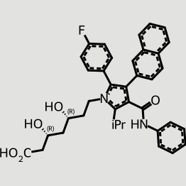 CC(C)c1c(C(=O)Nc2ccccc2)c(-c2ccc3ccccc3c2)c(-c2ccc(F)cc2)n1CC[C@@H](O)C[C@@H](O)CC(=O)O